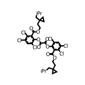 CC(C)CC1(CCOC(=O)c2c(Cl)c(Cl)cc(Cl)c2OC(=O)C(=O)Oc2c(Cl)cc(Cl)c(Cl)c2C(=O)OCCC2(CC(C)C)CC2)CC1